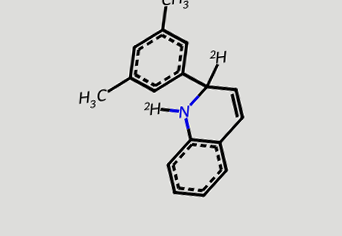 [2H]N1c2ccccc2C=CC1([2H])c1cc(C)cc(C)c1